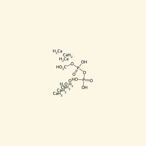 O.O.O=C(O)OP(=O)(O)OP(=O)(O)O.[CaH2].[CaH2].[CaH2].[CaH2].[CaH2].[CaH2]